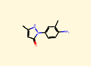 Cc1cc(=O)n(-c2ccc(N)c(C)c2)[nH]1